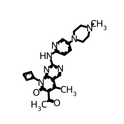 CC(=O)c1c(C)c2cnc(Nc3ccc(N4CCN(C)CC4)cn3)nc2n(C23CC(C2)C3)c1=O